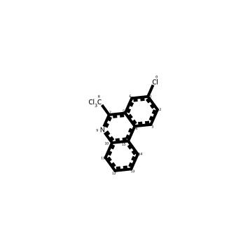 Clc1ccc2c(c1)c(C(Cl)(Cl)Cl)nc1ccccc12